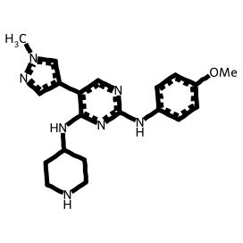 COc1ccc(Nc2ncc(-c3cnn(C)c3)c(NC3CCNCC3)n2)cc1